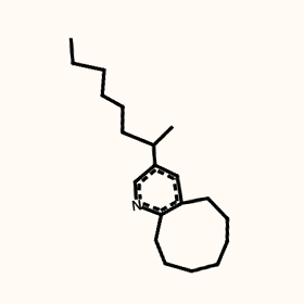 CCCCCCC(C)c1cnc2c(c1)CCCCCCC2